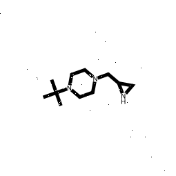 CC(C)(C)N1CCN(CC2CN2)CC1